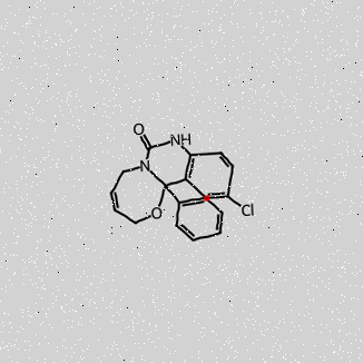 O=C1Nc2ccc(Cl)cc2C2(c3ccccc3)OCC=CCN12